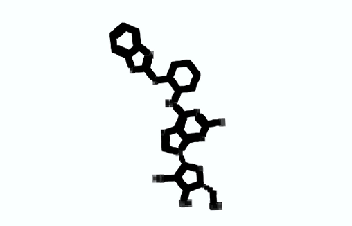 OC[C@H]1O[C@@H](n2cnc3c(NC4CCCCC4Sc4nc5ccccc5s4)nc(Cl)nc32)C(O)C1O